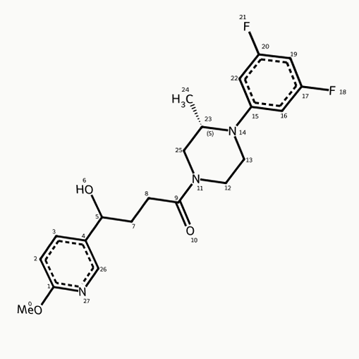 COc1ccc(C(O)CCC(=O)N2CCN(c3cc(F)cc(F)c3)[C@@H](C)C2)cn1